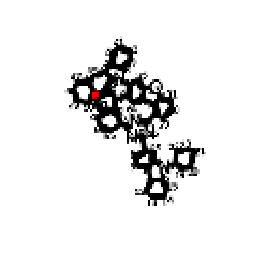 c1ccc(-c2nc(-c3ccc4c5ccccc5n(-c5ccccc5)c4c3)nc(-c3cccc4oc5cc(-n6c7ccccc7c7cc8ccccc8cc76)c(-c6ccccc6)cc5c34)n2)cc1